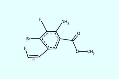 COC(=O)c1cc(/C=C\F)c(Br)c(F)c1N